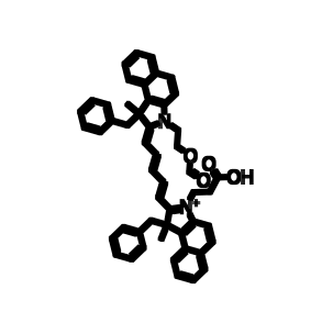 CC1(Cc2ccccc2)C(/C=C/C=C/C=C2\N(CCOC=O)c3ccc4ccccc4c3C2(C)Cc2ccccc2)=[N+](CCC(=O)O)c2ccc3ccccc3c21